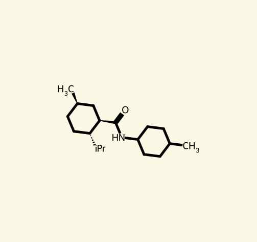 CC1CCC(NC(=O)[C@@H]2C[C@H](C)CC[C@H]2C(C)C)CC1